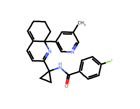 Cc1cncc(C23CCCC=C2C=CC(C2(NC(=O)c4ccc(F)cc4)CC2)=N3)c1